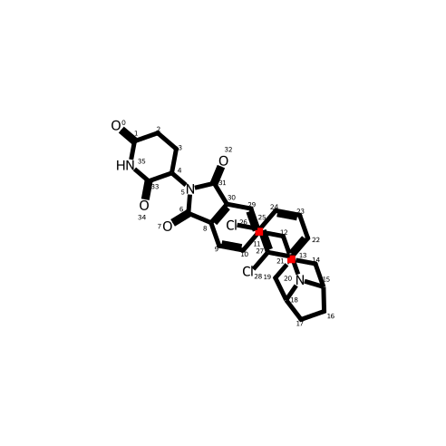 O=C1CCC(N2C(=O)c3ccc(CN4CC5CCC(C4)N5c4cccc(Cl)c4Cl)cc3C2=O)C(=O)N1